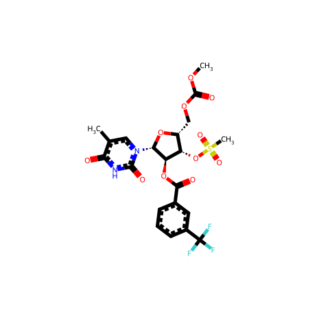 COC(=O)OC[C@H]1O[C@@H](n2cc(C)c(=O)[nH]c2=O)[C@H](OC(=O)c2cccc(C(F)(F)F)c2)[C@H]1OS(C)(=O)=O